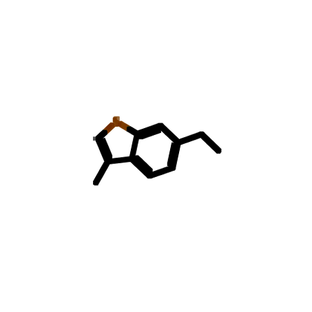 CCc1ccc2c(C)[c]sc2c1